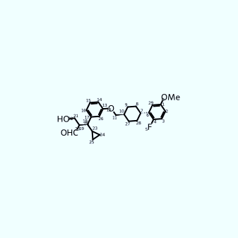 COc1ccc(F)c([C@H]2CC[C@H](COc3cccc([C@H](C(C=O)CO)C4CC4)c3)CC2)c1